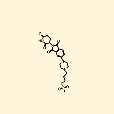 CS(=O)(=O)OCCCN1CCN(c2ccc3c(c2)C(=O)N(C2CCC(=O)NC2=O)C3=O)CC1